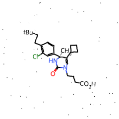 CC(C)(C)CCc1ccc([C@]2(C)NC(=O)N(CCCC(=O)O)C=C2C2CCC2)cc1Cl